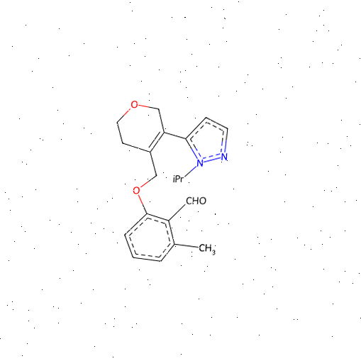 Cc1cccc(OCC2=C(c3ccnn3C(C)C)COCC2)c1C=O